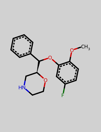 COc1ccc(F)cc1OC(c1ccccc1)[C@@H]1CNCCO1